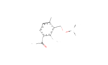 CCCCCC(=O)c1ccc(C(C)(C)C)c(CO[SiH](C)C)c1OC